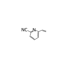 C=Cc1cccc(C#N)n1